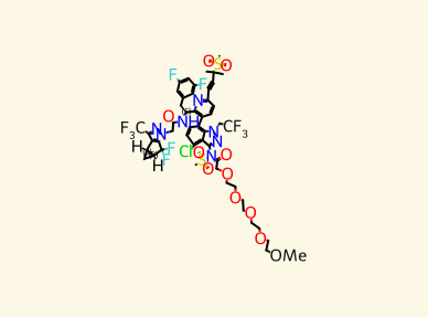 COCCOCCOCCOCCOCC(=O)N(c1nn(CC(F)(F)F)c2c(-c3ccc(C#CC(C)(C)S(C)(=O)=O)nc3[C@H](Cc3cc(F)cc(F)c3)NC(=O)Cn3nc(C(F)(F)F)c4c3C(F)(F)[C@@H]3C[C@H]43)ccc(Cl)c12)S(C)(=O)=O